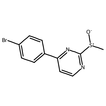 C[S+]([O-])c1nccc(-c2ccc(Br)cc2)n1